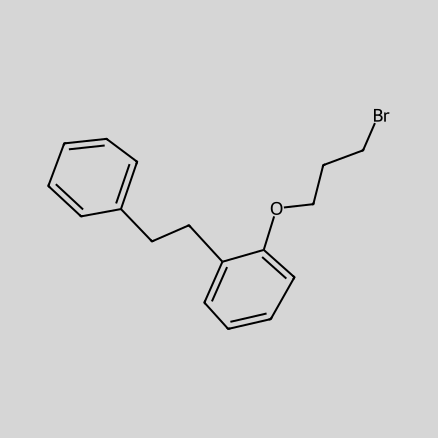 BrCCCOc1ccccc1CCc1ccccc1